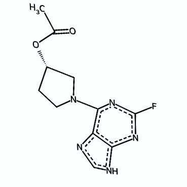 CC(=O)O[C@H]1CCN(c2nc(F)nc3[nH]cnc23)C1